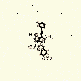 COc1ccc(CN(C(=O)OC(C)(C)C)c2nc(N)c(C#Cc3cccc(F)c3)c3c2ncn3C)cc1